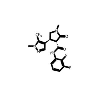 CN1C[C@H](c2cnn(C)c2C(F)(F)F)[C@@H](C(=O)Nc2cccc(F)c2F)C1=O